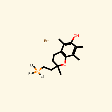 CC[P+](CC)(CC)CCC1(C)CCc2c(C)c(O)c(C)c(C)c2O1.[Br-]